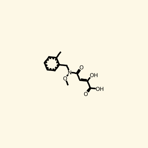 CON(Cc1ccccc1C)C(=O)/C=C(\O)C(=O)O